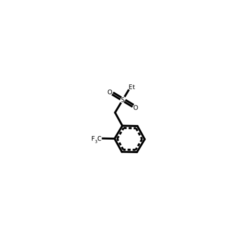 CCS(=O)(=O)Cc1ccccc1C(F)(F)F